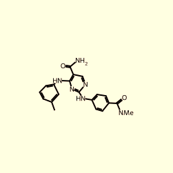 CNC(=O)c1ccc(Nc2ncc(C(N)=O)c(Nc3cccc(C)c3)n2)cc1